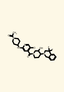 CC(=O)N1CCC(Nc2cc(C(=O)N3CCC(N4Cc5ccccc5C(F)(F)C4)C(O)C3)c(Cl)cn2)CC1